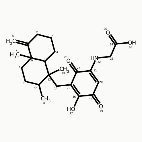 C=C1CCCC2C1(C)CCC(C)C2(C)CC1=C(O)C(=O)C=C(NCC(=O)O)C1=O